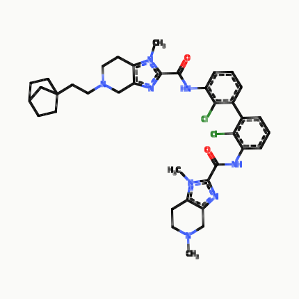 CN1CCc2c(nc(C(=O)Nc3cccc(-c4cccc(NC(=O)c5nc6c(n5C)CCN(CCC57CCC(CC5)C7)C6)c4Cl)c3Cl)n2C)C1